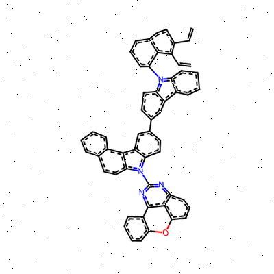 C=Cc1ccc2cccc(-n3c4ccccc4c4cc(-c5ccc6c(c5)c5c7ccccc7ccc5n6-c5nc6c7c(cccc7n5)Oc5ccccc5-6)ccc43)c2c1C=C